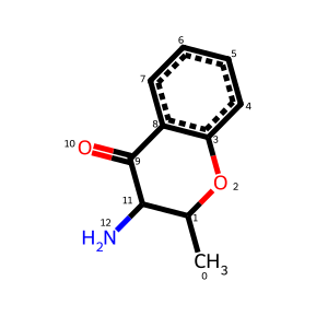 CC1Oc2ccccc2C(=O)C1N